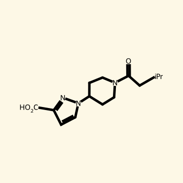 CC(C)CC(=O)N1CCC(n2ccc(C(=O)O)n2)CC1